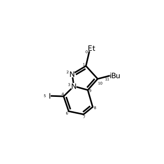 CCc1nn2c(I)cccc2c1C(C)CC